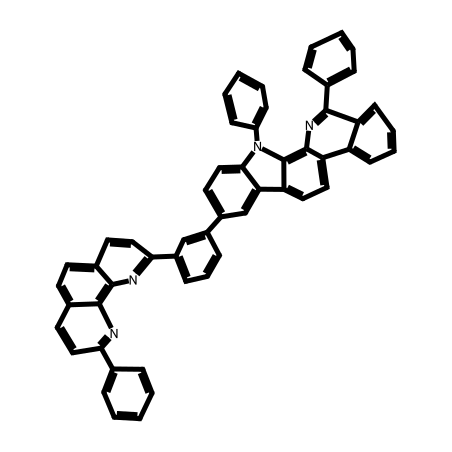 c1ccc(-c2ccc3ccc4ccc(-c5cccc(-c6ccc7c(c6)c6ccc8c9ccccc9c(-c9ccccc9)nc8c6n7-c6ccccc6)c5)nc4c3n2)cc1